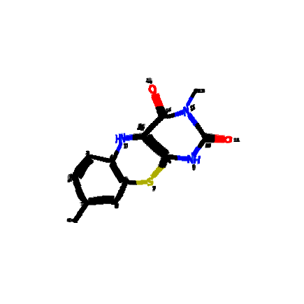 Cc1ccc2c(c1)Sc1[nH]c(=O)n(C)c(=O)c1N2